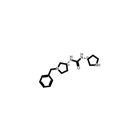 O=C(N[C@@H]1CCNC1)N[C@@H]1CCN(Cc2ccccc2)C1